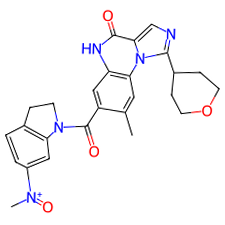 Cc1cc2c(cc1C(=O)N1CCc3ccc([N+](C)=O)cc31)[nH]c(=O)c1cnc(C3CCOCC3)n12